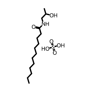 CCCCCCCCCCCC(=O)NCC(C)O.O=S(=O)(O)O